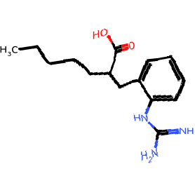 CCCCCC(Cc1ccccc1NC(=N)N)C(=O)O